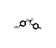 CCCCc1ccc(OC(=O)Oc2ccc(F)cc2)cc1